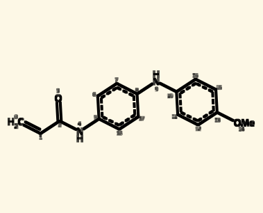 C=CC(=O)Nc1ccc(Nc2ccc(OC)cc2)cc1